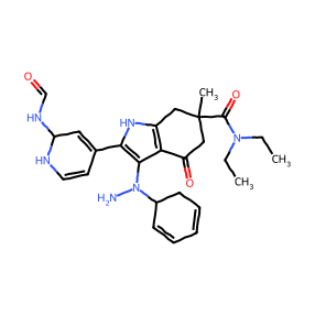 CCN(CC)C(=O)C1(C)CC(=O)c2c([nH]c(C3=CC(NC=O)NC=C3)c2N(N)C2C=CC=CC2)C1